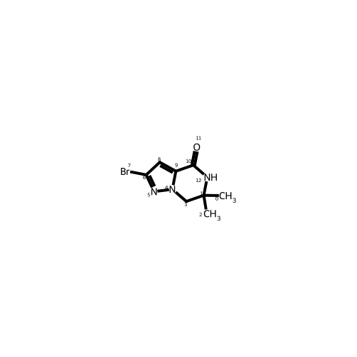 CC1(C)Cn2nc(Br)cc2C(=O)N1